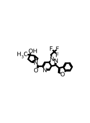 CC1(O)CC2CC1CN2C(=O)C1=CC2C(C=N1)C(c1coc3ccccc13)=NN2CC(F)(F)F